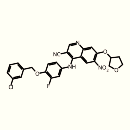 N#Cc1cnc2cc(OC3CCOC3)c([N+](=O)[O-])cc2c1Nc1ccc(OCc2cccc(Cl)c2)c(F)c1